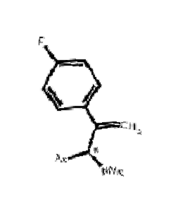 C=C(c1ccc(F)cc1)[C@@H](NC)C(C)=O